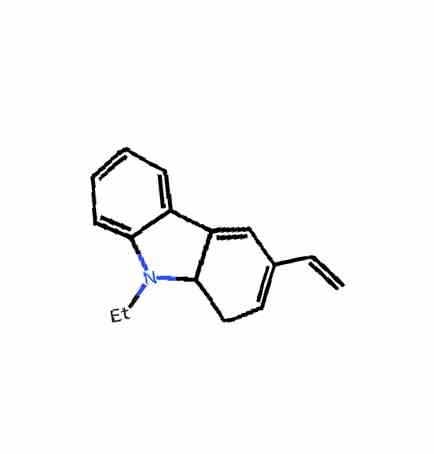 C=CC1=CCC2C(=C1)c1ccccc1N2CC